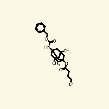 CC12CC3(C)CC(NC(=O)OCc4ccccc4)(C1)CC(OC(=O)CCCBr)(C2)C3